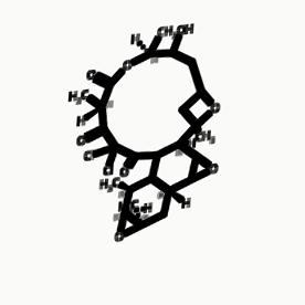 C[C@@H]1C(=O)O[C@@H](C)C(O)CC2CC(C)(O2)[C@@H]2C3OC3[C@@H]3C[C@@]4(C)O[C@H]4[C@@H](C)C3C2C(=O)C(Cl)(Cl)C1=O